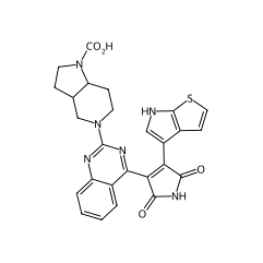 O=C1NC(=O)C(c2c[nH]c3sccc23)=C1c1nc(N2CCC3C(CCN3C(=O)O)C2)nc2ccccc12